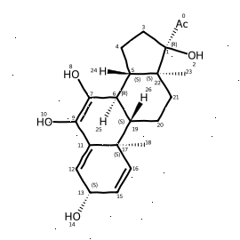 CC(=O)[C@@]1(O)CC[C@H]2[C@@H]3C(O)=C(O)C4=C[C@@H](O)C=C[C@]4(C)[C@H]3CC[C@@]21C